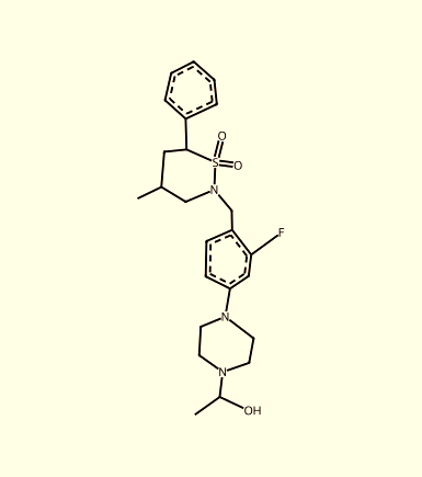 CC1CC(c2ccccc2)S(=O)(=O)N(Cc2ccc(N3CCN(C(C)O)CC3)cc2F)C1